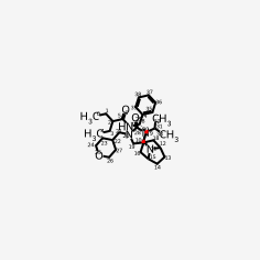 CCC(CC)C(=O)N[C@@H](CCN1C2CCC1CC1(C2)CN(CC2CCOCC2)C(=O)N1C(C)C)c1ccccc1